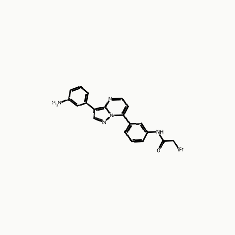 CC(C)CC(=O)Nc1cccc(-c2ccnc3c(-c4cccc(N)c4)cnn23)c1